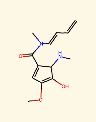 C=C/C=C/N(C)C(=O)C1=CC(OC)=C(O)C1NC